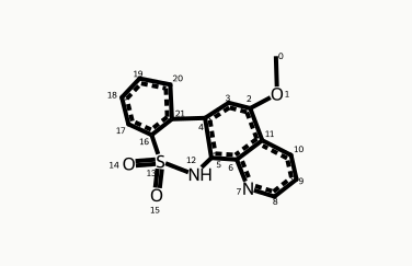 COc1cc2c(c3ncccc13)NS(=O)(=O)c1ccccc1-2